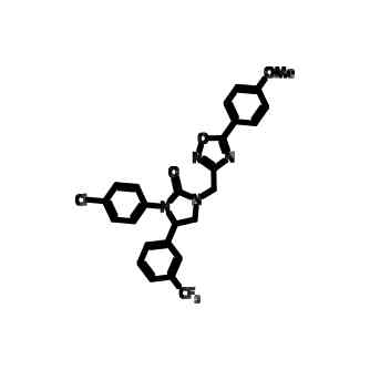 COc1ccc(-c2nc(CN3CC(c4cccc(C(F)(F)F)c4)N(c4ccc(Cl)cc4)C3=O)no2)cc1